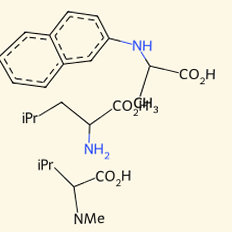 CC(C)CC(N)C(=O)O.CC(Nc1ccc2ccccc2c1)C(=O)O.CNC(C(=O)O)C(C)C